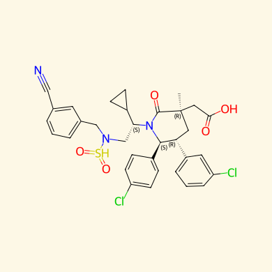 C[C@]1(CC(=O)O)C[C@H](c2cccc(Cl)c2)[C@@H](c2ccc(Cl)cc2)N([C@H](CN(Cc2cccc(C#N)c2)[SH](=O)=O)C2CC2)C1=O